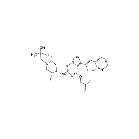 CC(C)(O)CN1CC[C@H](Nc2nc(OCC(F)F)c3c(-c4ccc5ncccc5c4)ccn3n2)[C@H](F)C1